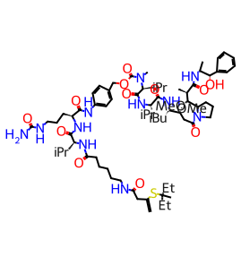 C=C(CC(=O)NCCCCCC(=O)N[C@H](C(=O)N[C@@H](CCCNC(N)=O)C(=O)Nc1ccc(COC(=O)N(C)[C@H](C(=O)N[C@H](C(=O)N[C@@H]([C@@H](C)CC)[C@@H](CC(=O)N2CCCC2C(OC)[C@@H](C)C(=O)NC(C)[C@@H](O)c2ccccc2)OC)C(C)C)C(C)C)cc1)C(C)C)SC(C)(CC)CC